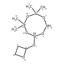 C[Si]1(C)O[SiH2]O[SiH](OC2CCO2)O[Si](C)(C)O1